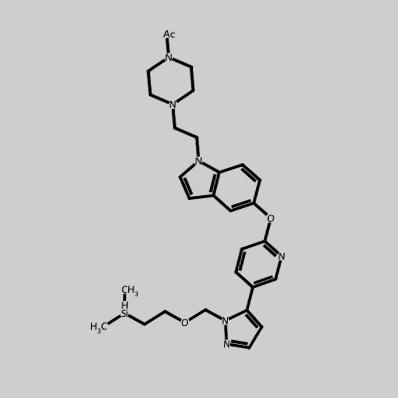 CC(=O)N1CCN(CCn2ccc3cc(Oc4ccc(-c5ccnn5COCC[SiH](C)C)cn4)ccc32)CC1